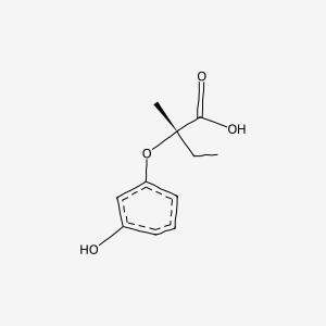 CC[C@](C)(Oc1cccc(O)c1)C(=O)O